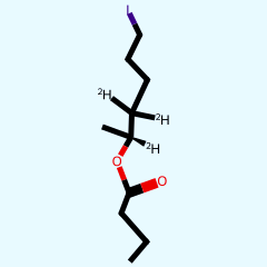 [2H]C([2H])(CCCI)[C@@]([2H])(C)OC(=O)CCC